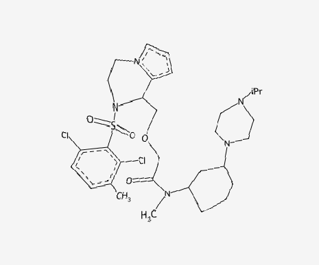 Cc1ccc(Cl)c(S(=O)(=O)N2CCn3cccc3C2COCC(=O)N(C)C2CCCC(N3CCN(C(C)C)CC3)C2)c1Cl